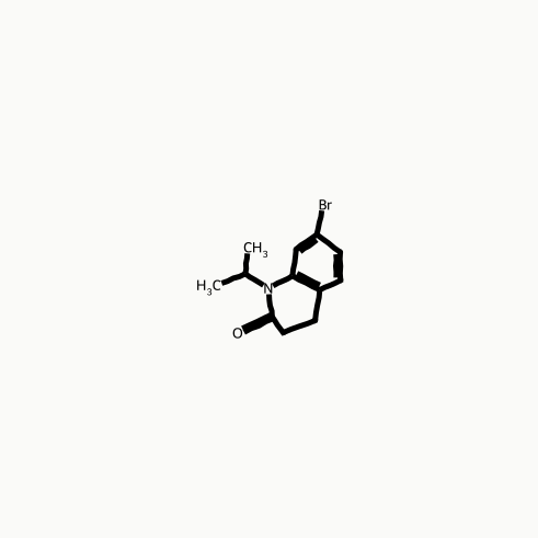 CC(C)N1C(=O)CCc2ccc(Br)cc21